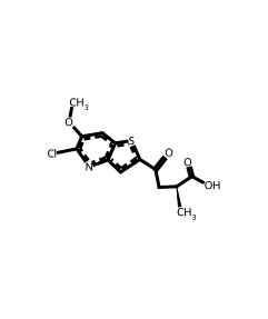 COc1cc2sc(C(=O)C[C@H](C)C(=O)O)cc2nc1Cl